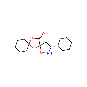 O=C1OC2(CCCCC2)OC12C[C@H](C1CCCCC1)NO2